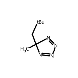 CC(C)(C)CC1(C)N=NN=N1